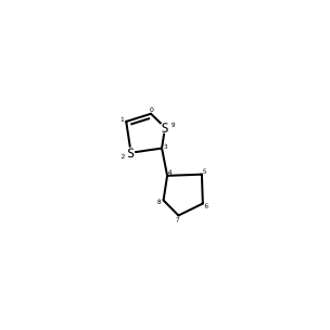 C1=CSC(C2CCCC2)S1